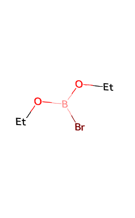 CCOB(Br)OCC